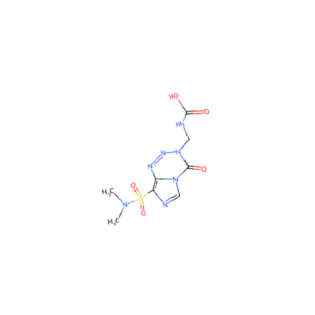 CN(C)S(=O)(=O)c1ncn2c(=O)n(CNC(=O)O)nnc12